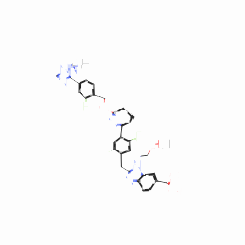 COCCn1c(Cc2cc(F)c(-c3cccc(OCc4ccc(-c5ncnn5C)cc4F)n3)cc2F)nc2ccc(C(=O)O)cc21